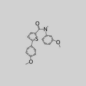 COc1ccc(-c2ccc(C(=O)N(C)c3cccc(OC)c3)s2)cc1